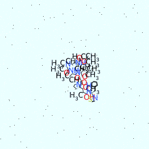 CC[C@H](C)[C@@H]([C@@H](CC(=O)N1CCC[C@H]1[C@H](OC)[C@@H](C)C(O)N[C@@H](Cc1ccccc1)c1nccs1)OC)N(C)C(=O)[C@@H](NC(=O)[C@H](C(C)C)N(C)CCNC(=O)OC(C)(C)C)C(C)C